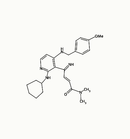 COc1ccc(CNc2ccnc(NC3CCCCC3)c2C(=N)/C=C/C(=O)N(C)C)cc1